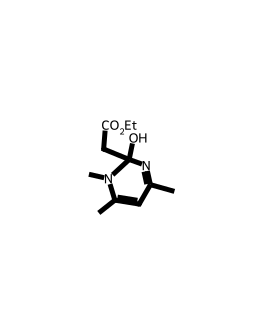 CCOC(=O)CC1(O)N=C(C)C=C(C)N1C